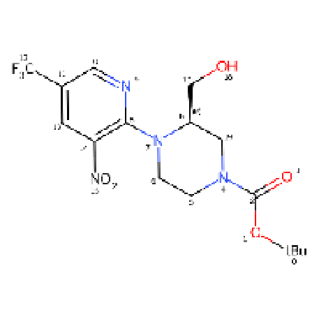 CC(C)(C)OC(=O)N1CCN(c2ncc(C(F)(F)F)cc2[N+](=O)[O-])[C@@H](CO)C1